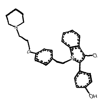 Oc1ccc(-c2c(Cl)c3ccccc3n2Cc2ccc(OCCN3CCCCC3)cc2)cc1